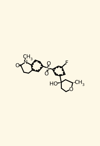 C[C@H]1C[C@@](O)(c2cc(F)cc(S(=O)(=O)c3ccc4c(c3)CCC(=O)N4C)c2)CCO1